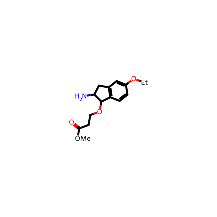 CCOc1ccc2c(c1)CC(N)C2OCCC(=O)OC